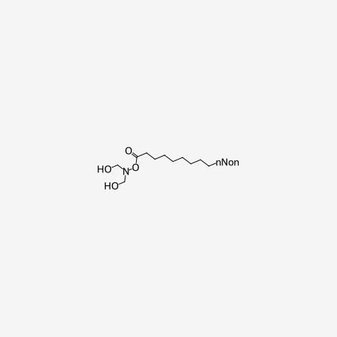 CCCCCCCCCCCCCCCCCC(=O)ON(CO)CO